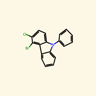 Clc1ccc2c(c1Br)c1ccccc1n2-c1ccccc1